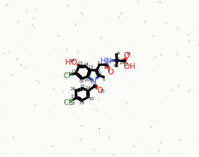 Cc1c(CC(=O)NC(C)(C)C(=O)O)c2cc(O)c(Cl)cc2n1C(=O)c1ccc(Cl)cc1